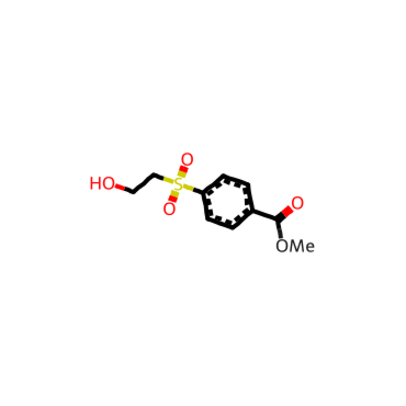 COC(=O)c1ccc(S(=O)(=O)CCO)cc1